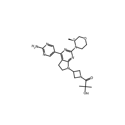 C[C@H]1COCCN1c1nc(-c2cnc(N)nc2)c2c(n1)N(C1CN(C(=O)C(C)(C)O)C1)CC2